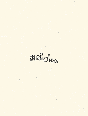 O=C1O[C@@H](Cn2nccn2)CN1c1ccc(N2CC3(CSC3)C2)c(F)c1